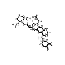 C[C@@H]1CCC[C@H](C)N1CC=CC(=O)Nc1cc2c(Nc3ccc(F)c(Cl)c3)ncnc2cc1OCC1CC1